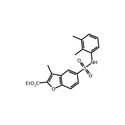 CCOC(=O)c1oc2ccc(S(=O)(=O)Nc3cccc(C)c3C)cc2c1C